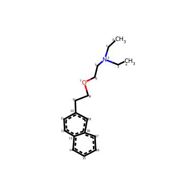 CCN(CC)CCOCCc1ccc2ccccc2c1